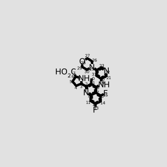 Cc1c(C2CCC(C(=O)O)N2)nc2cc(F)cc(F)c2c1Nc1cncc(N2CCOCC2)c1